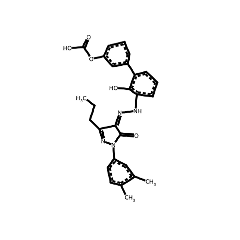 CCCC1=NN(c2ccc(C)c(C)c2)C(=O)C1=NNc1cccc(-c2cccc(OC(=O)O)c2)c1O